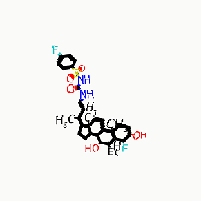 CC[C@@H]1[C@@H]2[C@@H](F)[C@H](O)CC[C@]2(C)C2CC[C@@]3(C)C(CCC3[C@H](C)CCNC(=O)NS(=O)(=O)c3ccc(F)cc3)C2[C@@H]1O